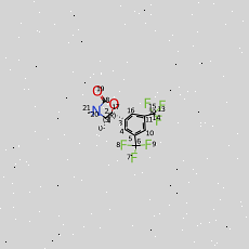 C[C@H]1[C@@H](c2cc(C(F)(F)F)cc(C(F)(F)F)c2)OC(=O)N1C